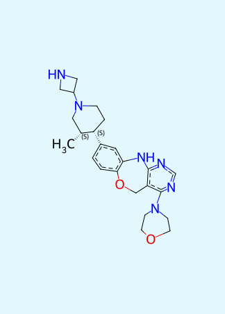 C[C@@H]1CN(C2CNC2)CC[C@@H]1c1ccc2c(c1)Nc1ncnc(N3CCOCC3)c1CO2